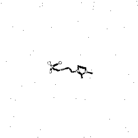 Cc1n(C)cc[n+]1CCCS(=O)(=O)[O-]